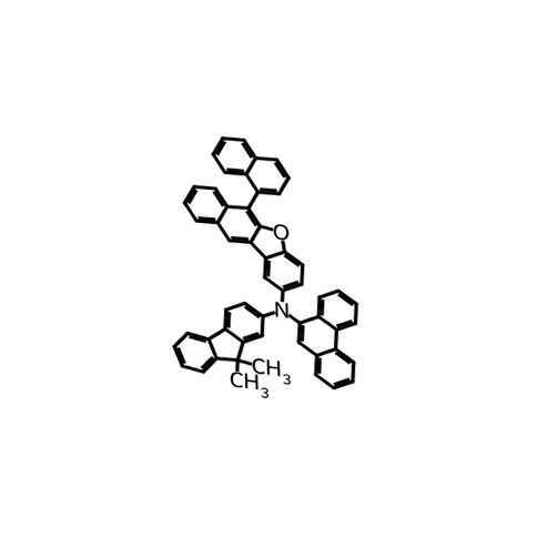 CC1(C)c2ccccc2-c2ccc(N(c3ccc4oc5c(-c6cccc7ccccc67)c6ccccc6cc5c4c3)c3cc4ccccc4c4ccccc34)cc21